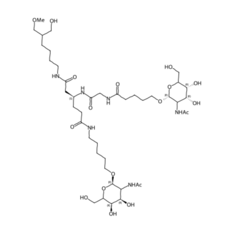 COCC(CO)CCCCNC(=O)C[C@H](CCC(=O)NCCCCCO[C@@H]1OC(CO)[C@H](O)[C@H](O)C1NC(C)=O)NC(=O)CNC(=O)CCCCO[C@@H]1OC(CO)[C@H](O)[C@H](O)C1NC(C)=O